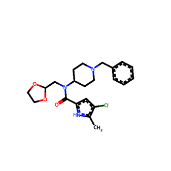 Cc1[nH]c(C(=O)N(CC2OCCO2)C2CCN(Cc3ccccc3)CC2)cc1Cl